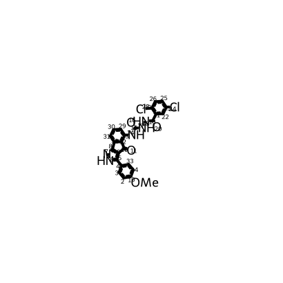 COc1ccc(-c2[nH]nc3c2C(=O)c2c(NC(=O)NNC(=O)c4cc(Cl)ccc4Cl)cccc2-3)cc1